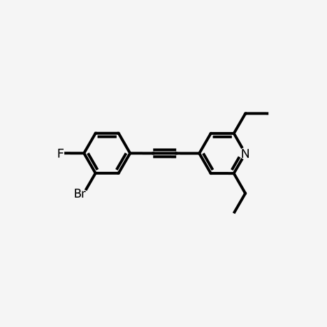 CCc1cc(C#Cc2ccc(F)c(Br)c2)cc(CC)n1